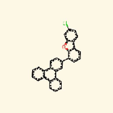 Clc1ccc2c(c1)oc1c(-c3ccc4c5ccccc5c5ccccc5c4c3)cccc12